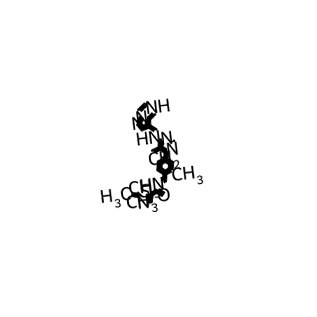 C=Cc1c(NCc2cnn3c2CNCC3)ncnc1-c1ccc(CNC(=O)c2cnc(C(C)(C)C)s2)c(C)c1